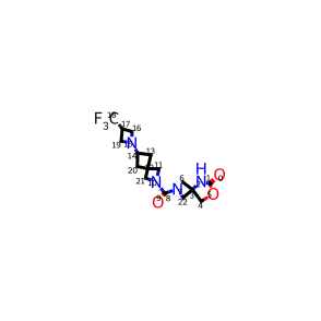 O=C1NC2(CO1)CN(C(=O)N1CC3(CC(N4CC(C(F)(F)F)C4)C3)C1)C2